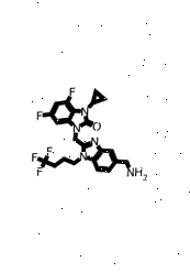 NCc1ccc2c(c1)nc(Cn1c(=O)n(C3CC3)c3c(F)cc(F)cc31)n2CCCC(F)(F)F